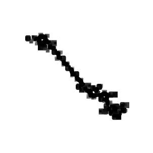 O=C(CCOCCOCCOCCOCCNc1ccc([N+](=O)[O-])cc1[N+](=O)[O-])NNc1ccn(C2CC(O)C(COP(=O)(O)OP(=O)(O)OP(=O)(O)O)O2)c(=O)n1